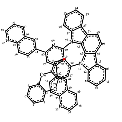 c1ccc2c(c1)Oc1ccc(-n3c4ccccc4c4ccc5c6ccccc6n(-c6nc(-c7ccc8ncccc8c7)cc(-c7ccc8ncccc8c7)n6)c5c43)cc1O2